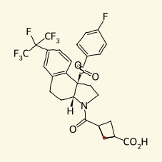 O=C(O)C12CC(C(=O)N3CC[C@@]4(S(=O)(=O)c5ccc(F)cc5)c5ccc(C(F)(C(F)(F)F)C(F)(F)F)cc5CC[C@@H]34)(C1)C2